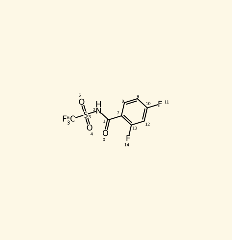 O=C(NS(=O)(=O)C(F)(F)F)c1ccc(F)cc1F